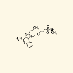 CCCc1nc2c(N)nc3ccccc3c2n1CCOCCCS(=O)(=O)NC